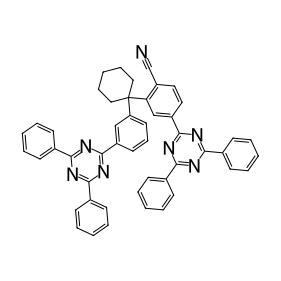 N#Cc1ccc(-c2nc(-c3ccccc3)nc(-c3ccccc3)n2)cc1C1(c2cccc(-c3nc(-c4ccccc4)nc(-c4ccccc4)n3)c2)CCCCC1